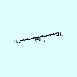 CCCCCCCCC=CCCCCCCC(CCCCCCCCCCCCCCCCCC)C(N)=O